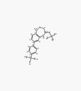 FC(F)(F)CN1CCOc2ccc(-c3ccc(C(F)(F)F)cc3)cc2S1